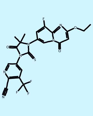 CCOc1cc(=O)n2cc(N3C(=S)N(c4cnc(C#N)c(C(F)(F)F)c4)C(=O)C3(C)C)cc(F)c2n1